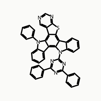 c1ccc(-c2nc(-c3ccccc3)nc(-n3c4ccccc4c4c5sc6ncncc6c5c5c(c6ccccc6n5-c5ccccc5)c43)n2)cc1